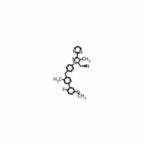 COc1ccc(F)c(-c2ccc(Cc3ccc(N4N=C(c5ncccn5)C(C)C4CC#N)cc3)c(C)c2)c1